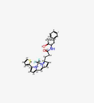 CNC(=O)C(Cc1ccccc1)NC(=O)CCC1=[N+]2C(=Cc3ccc(-c4cccs4)n3[B-]2(F)F)C=C1